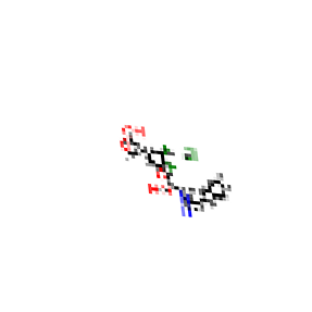 C=CC(CC(=O)O)c1cc(F)c(F)c(OCC(O)CNC(C)(C)CC2Cc3ccccc3C2)c1.Cl